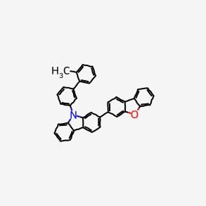 Cc1ccccc1-c1cccc(-n2c3ccccc3c3ccc(-c4ccc5c(c4)oc4ccccc45)cc32)c1